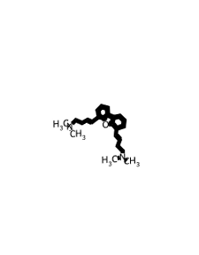 CN(C)CCC=Cc1cccc2c1oc1c(C=CCCN(C)C)cccc12